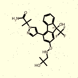 CC(C)(O)CNOc1cc(-c2cnn(C(C)(C)C(N)=O)c2)c2c(c1)[C@@](O)(C(F)(F)F)c1ccccc1-2